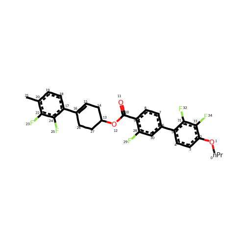 CCCOc1ccc(-c2ccc(C(=O)OC3CC=C(c4ccc(C)c(F)c4F)CC3)c(F)c2)c(F)c1F